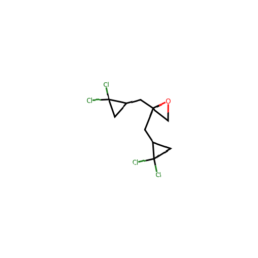 ClC1(Cl)CC1CC1(CC2CC2(Cl)Cl)CO1